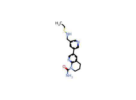 CCSNCc1cncc(-c2cnc3c(c2)CCCN3C(N)=O)c1